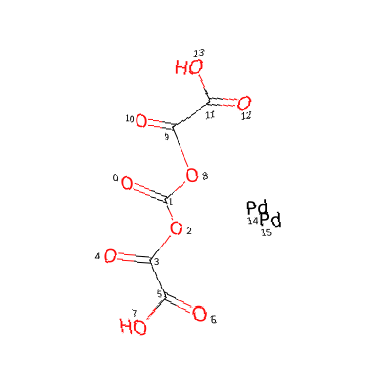 O=C(OC(=O)C(=O)O)OC(=O)C(=O)O.[Pd].[Pd]